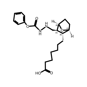 O=C(O)CCCCCC[C@@H]1[C@@H](CNNC(=O)Oc2ccccc2)[C@H]2CC[C@@H]1O2